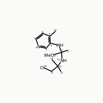 COC(C)(Nc1cnccc1C)NC(C)(C)CCl